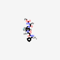 CCCC(C(=O)C(=O)N[C@H](C)c1ccccc1)N1C[C@H](F)[C@H]2CN(C(=O)[C@@H](NC(=O)OC(C)C)C(C)C)[C@H](C1=O)[C@H]2C